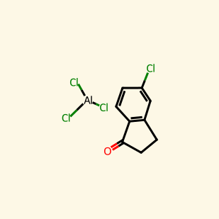 O=C1CCc2cc(Cl)ccc21.[Cl][Al]([Cl])[Cl]